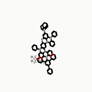 CC(C)(C)c1cc2c3c(c1)N(c1c(-c4ccccc4)cc(-c4ccccc4)cc1-c1ccccc1)c1ccccc1B3c1cc3c(cc1N2c1ccccc1)Sc1cc(N2C4CC5CC(C4)CC2C5)cc2c1B3c1ccccc1N2c1ccccc1